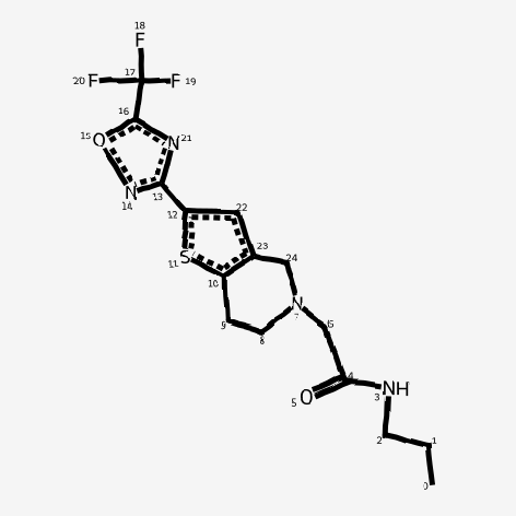 CCCNC(=O)CN1CCc2sc(-c3noc(C(F)(F)F)n3)cc2C1